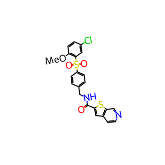 COc1ccc(Cl)cc1S(=O)(=O)c1ccc(CNC(=O)c2cc3ccncc3s2)cc1